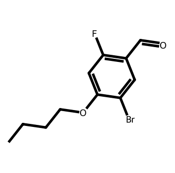 CCCCOc1cc(F)c(C=O)cc1Br